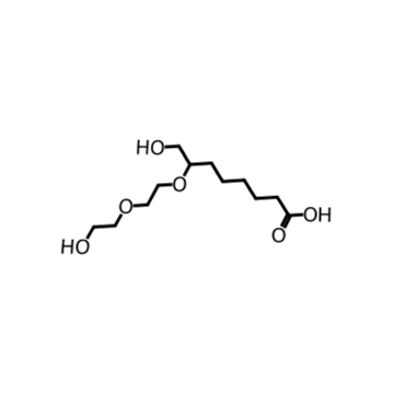 O=C(O)CCCCCC(CO)OCCOCCO